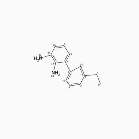 CCc1cccc(-c2cccc(N)c2N)c1